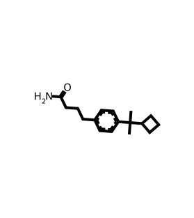 CC(C)(c1ccc(CCCC(N)=O)cc1)C1CCC1